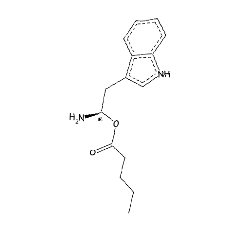 CCCCC(=O)O[C@@H](N)Cc1c[nH]c2ccccc12